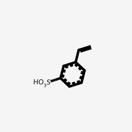 C=Cc1cccc(S(=O)(=O)O)c1